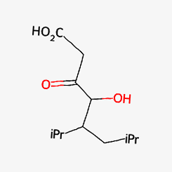 CC(C)CC(C(C)C)C(O)C(=O)CC(=O)O